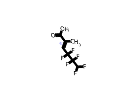 C/C(=C\C(F)(F)C(F)(F)C(F)F)C(=O)O